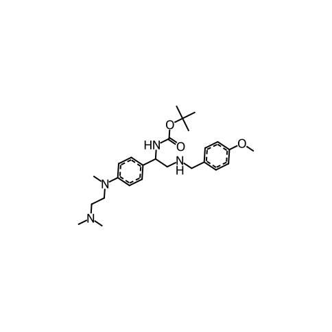 COc1ccc(CNCC(NC(=O)OC(C)(C)C)c2ccc(N(C)CCN(C)C)cc2)cc1